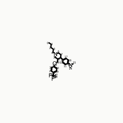 CCCCCN1CCC(c2ccc(N(C)C)cc2)C(COc2ccc(C(F)(F)F)cc2)C1